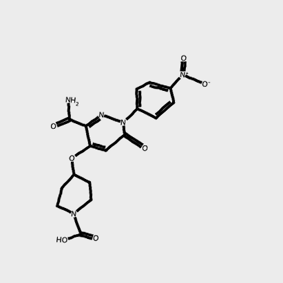 NC(=O)c1nn(-c2ccc([N+](=O)[O-])cc2)c(=O)cc1OC1CCN(C(=O)O)CC1